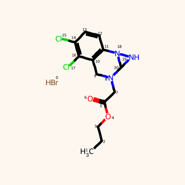 Br.CCCOC(=O)CN1Cc2c(ccc(Cl)c2Cl)N2NC12